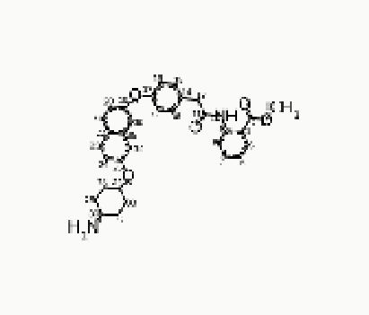 COC(=O)c1ccccc1NC(=O)Cc1ccc(Oc2ccc3ccc(OC4CCC(N)CC4)cc3c2)cc1